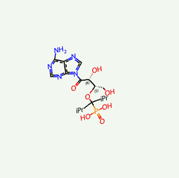 CC(C)C(O[C@@H](CO)[C@@H](O)C(=O)n1cnc2c(N)ncnc21)(C(C)C)P(=O)(O)O